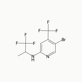 CC(Nc1cc(C(F)(F)F)c(Br)cn1)C(F)(F)F